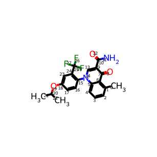 Cc1cccc2c1c(=O)c(C(N)=O)cn2-c1ccc(OC(C)C)cc1C(F)(F)F